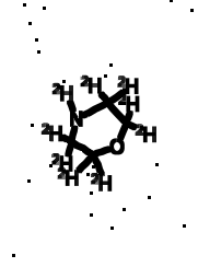 [2H]N1C([2H])([2H])C([2H])([2H])OC([2H])([2H])C1([2H])[2H]